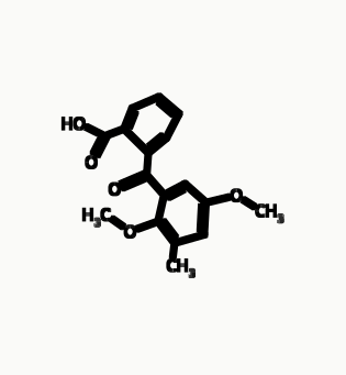 COc1cc(C)c(OC)c(C(=O)c2ccccc2C(=O)O)c1